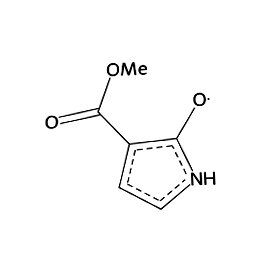 COC(=O)c1cc[nH]c1[O]